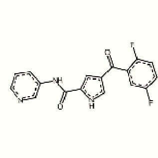 O=C(Nc1cccnc1)c1cc(C(=O)c2cc(F)ccc2F)c[nH]1